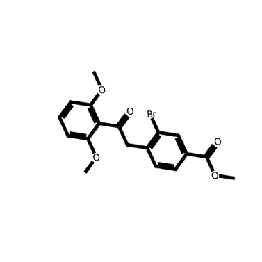 COC(=O)c1ccc(CC(=O)c2c(OC)cccc2OC)c(Br)c1